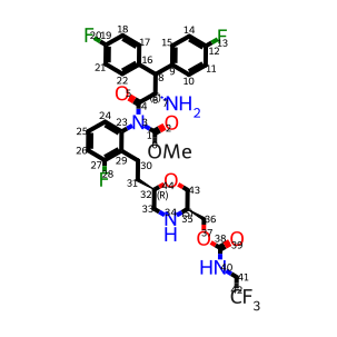 COC(=O)N(C(=O)[C@@H](N)C(c1ccc(F)cc1)c1ccc(F)cc1)c1cccc(F)c1CC[C@@H]1CN[C@H](COC(=O)NCC(F)(F)F)CO1